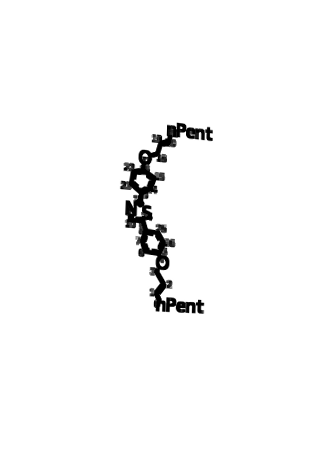 CCCCCC=CCOc1ccc(-c2cnc(-c3ccc(OCC=CCCCCC)cc3)s2)cc1